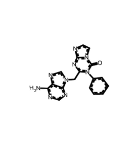 Nc1ncnc2c1ncn2Cc1nc2nccn2c(=O)n1-c1ccccc1